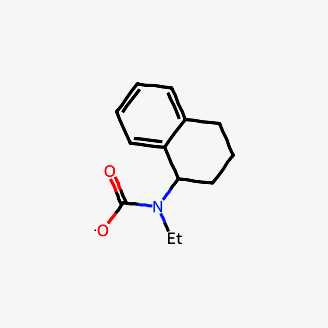 CCN(C([O])=O)C1CCCc2ccccc21